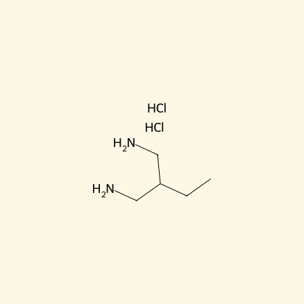 CCC(CN)CN.Cl.Cl